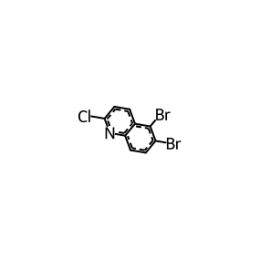 Clc1ccc2c(Br)c(Br)ccc2n1